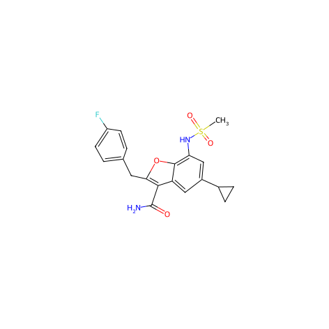 CS(=O)(=O)Nc1cc(C2CC2)cc2c(C(N)=O)c(Cc3ccc(F)cc3)oc12